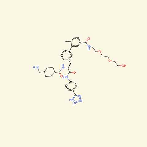 Cc1ccc(C(=O)NCCOCCOCCO)cc1-c1cccc(C[C@H](NC(=O)C2CCC(CN)CC2)C(=O)Nc2ccc(-c3nnn[nH]3)cc2)c1